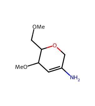 COCC1OCC(N)=CC1OC